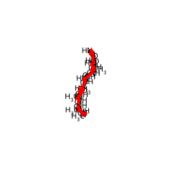 Cn1cc(NC(=O)c2nc(NC(=O)CCNC(=O)c3cc(NC(=O)c4nccn4C)cn3C)cn2C)cc1C(=O)NCCCC(=O)Nc1c[nH]c(C(=O)NCCC(=O)Nc2cc(C(=O)Nc3c[nH]c(C(=O)NCCC(=O)N4CCC5(CC4)CNC5)n3)n(C)c2)n1